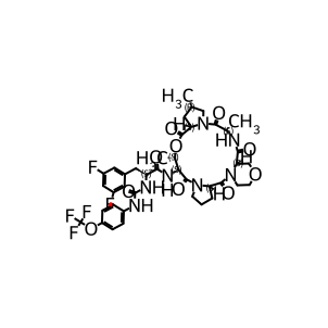 C[C@@H]1C[C@H]2C(=O)O[C@@H](C)[C@H](NC(=O)[C@H](Cc3cc(F)cc(F)c3)NC(=O)Nc3ccc(OC(F)(F)F)cc3)C(=O)N3CCC[C@H]3C(=O)N3CCOC[C@H]3C(=O)N[C@@H](C)C(=O)N2C1